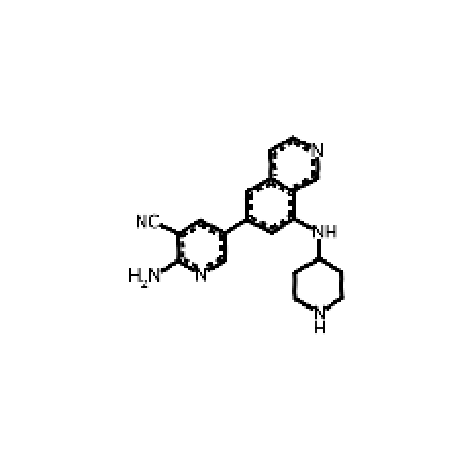 N#Cc1cc(-c2cc(NC3CCNCC3)c3cnccc3c2)cnc1N